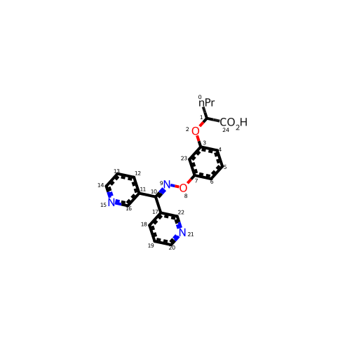 CCCC(Oc1cccc(ON=C(c2cccnc2)c2cccnc2)c1)C(=O)O